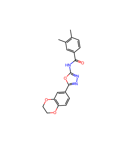 Cc1ccc(C(=O)Nc2nnc(-c3ccc4c(c3)OCCO4)o2)cc1C